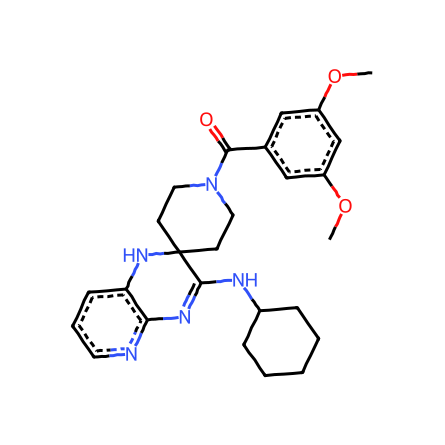 COc1cc(OC)cc(C(=O)N2CCC3(CC2)Nc2cccnc2N=C3NC2CCCCC2)c1